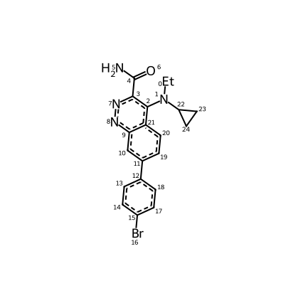 CCN(c1c(C(N)=O)nnc2cc(-c3ccc(Br)cc3)ccc12)C1CC1